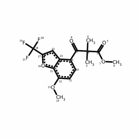 COC(=O)C(C)(C)C(=O)c1ccc(OC)c2oc(C(F)(F)F)cc12